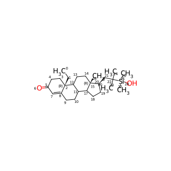 CC[C@]12CCC(=O)C=C1CCC1C2CC[C@@]2(C)C1CC[C@@H]2CC(C)(C)[Si](C)(C)O